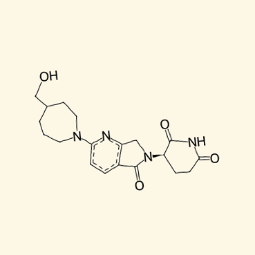 O=C1CC[C@@H](N2Cc3nc(N4CCCC(CO)CC4)ccc3C2=O)C(=O)N1